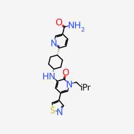 CC(C)Cn1cc(-c2cnsc2)cc(N[C@H]2CC[C@@H](c3ccc(C(N)=O)cn3)CC2)c1=O